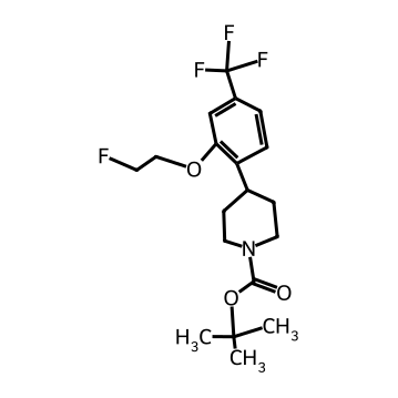 CC(C)(C)OC(=O)N1CCC(c2ccc(C(F)(F)F)cc2OCCF)CC1